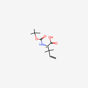 C=CC(C)(C)[C@@H](NC(=O)OC(C)(C)C)C(=O)O